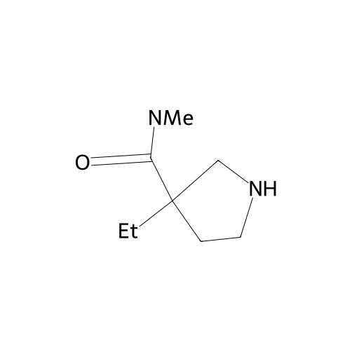 CCC1(C(=O)NC)CCNC1